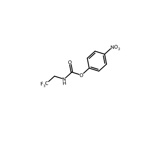 O=C(NCC(F)(F)F)Oc1ccc([N+](=O)[O-])cc1